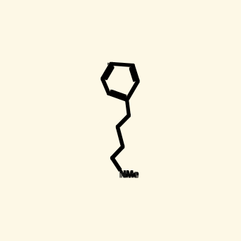 CNCCCCc1cc[c]cc1